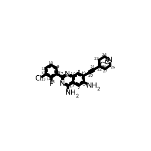 Nc1cc2c(N)nc(-c3cccc(Cl)c3F)nc2cc1C#CC12CCN(CC1)CC2